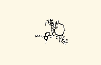 COc1cc(F)cc2c(O[C@@H]3C[C@H]4C(=O)N[C@]5(C(=O)NS(=O)(=O)C6(CF)CC6)C[C@H]5/C=C\CC[C@@H](C)C[C@@H](C)[C@H](NC(=O)OC(C)(C)C(C)(F)F)C(=O)N4C3)nccc12